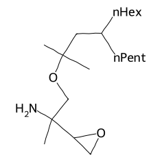 CCCCCCC(CCCCC)CC(C)(C)OCC(C)(N)C1CO1